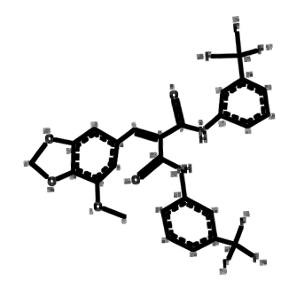 COc1cc(C=C(C(=O)Nc2cccc(C(F)(F)F)c2)C(=O)Nc2cccc(C(F)(F)F)c2)cc2c1OCO2